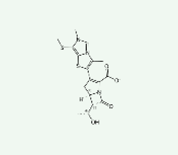 CSc1c2sc(C3=C(C(=O)[O-])N4C(=O)[C@H]([C@@H](C)O)[C@H]4C3)c(C)[n+]2cn1C